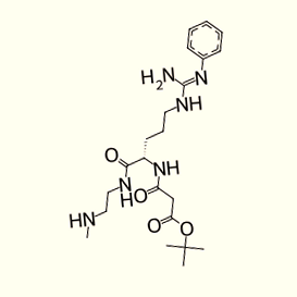 CNCCNC(=O)[C@H](CCCN/C(N)=N/c1ccccc1)NC(=O)CC(=O)OC(C)(C)C